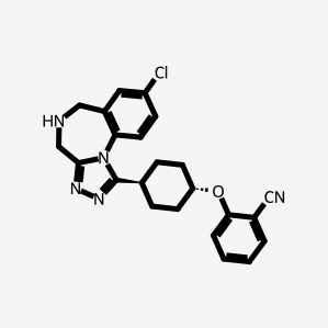 N#Cc1ccccc1O[C@H]1CC[C@H](c2nnc3n2-c2ccc(Cl)cc2CNC3)CC1